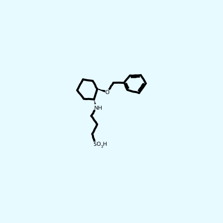 O=S(=O)(O)CCCN[C@@H]1CCCC[C@H]1OCc1ccccc1